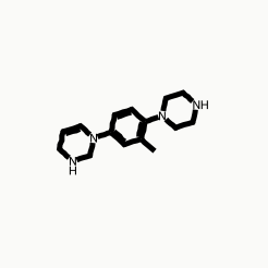 Cc1cc(N2C=CCNC2)ccc1N1CCNCC1